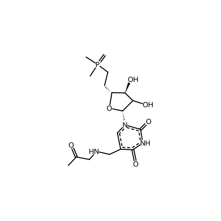 C=P(C)(C)CC[C@H]1O[C@@H](n2cc(CNCC(C)=O)c(=O)[nH]c2=O)C(O)[C@@H]1O